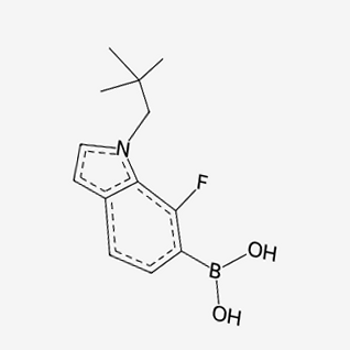 CC(C)(C)Cn1ccc2ccc(B(O)O)c(F)c21